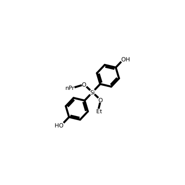 CCCO[Si](OCC)(c1ccc(O)cc1)c1ccc(O)cc1